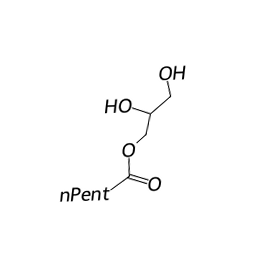 CCCCCC(=O)OCC(O)CO